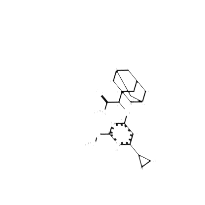 CSc1nc(OC(C(N)=O)C23CC4CC(CC(C4)C2)C3)cc(C2CC2)n1